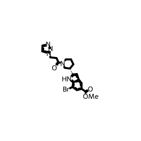 COC(=O)c1cc(Br)c2[nH]c([C@H]3CCCN(C(=O)CCn4ccnn4)C3)cc2c1